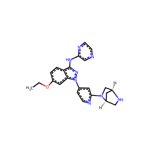 CCOc1ccc2c(Nc3cnccn3)nn(-c3ccnc(N4C[C@@H]5C[C@H]4CN5)c3)c2c1